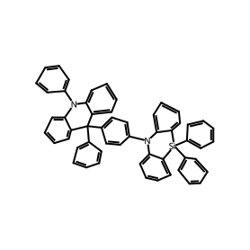 c1ccc(N2c3ccccc3C(c3ccccc3)(c3ccc(N4c5ccccc5[Si](c5ccccc5)(c5ccccc5)c5ccccc54)cc3)c3ccccc32)cc1